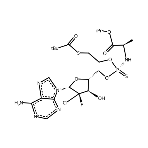 CC(C)OC(=O)[C@@H](C)N[P@@](=S)(OCCSC(=O)C(C)(C)C)OC[C@H]1O[C@@H](n2cnc3c(N)ncnc32)[C@@](F)(Cl)[C@@H]1O